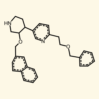 c1ccc(COCCc2ccc(C3CCNCC3OCc3ccc4ccccc4c3)cn2)cc1